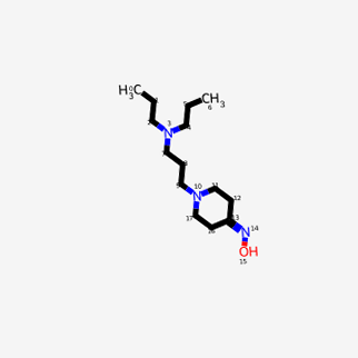 CCCN(CCC)CCCN1CCC(=NO)CC1